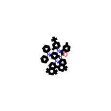 Cc1ccc2oc3c(c2c1)N(c1ccc(C(C)(C)C)cc1C)c1cc(N(c2ccccc2)c2ccccc2)cc2c1B3c1ccc3c4c1N2c1ccc2c(c1C4(C)CCC3(C)C)C(C)(C)CCC2(C)C